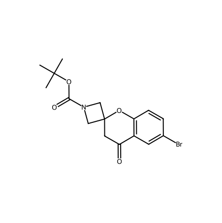 CC(C)(C)OC(=O)N1CC2(CC(=O)c3cc(Br)ccc3O2)C1